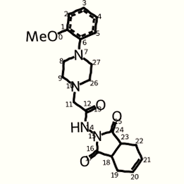 COc1ccccc1N1CCN(CC(=O)NN2C(=O)C3CC=CCC3C2=O)CC1